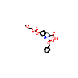 COCCOC(=O)Oc1ccc(C[C@H](NC(=O)OCc2ccccc2)C(=O)O)cc1